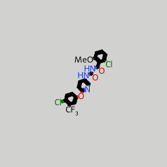 COc1cccc(Cl)c1C(=O)NC(=O)Nc1ccc(Oc2ccc(Cl)c(C(F)(F)F)c2)nc1